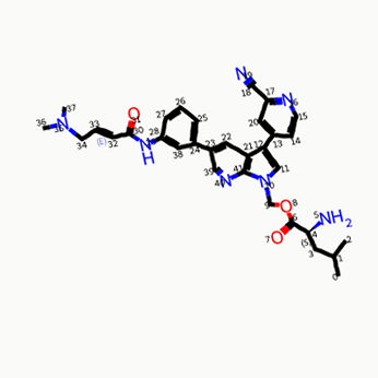 CC(C)C[C@H](N)C(=O)OCn1cc(-c2ccnc(C#N)c2)c2cc(-c3cccc(NC(=O)/C=C/CN(C)C)c3)cnc21